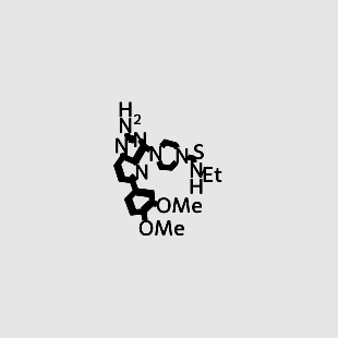 CCNC(=S)N1CCN(c2nc(N)nc3ccc(-c4ccc(OC)c(OC)c4)nc23)CC1